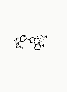 Cc1c(F)cccc1C1C=C(c2ccc3cnn(C)c3c2)CC1C(=O)O